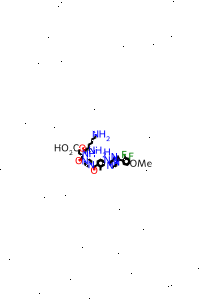 COc1ccc(-c2cnc3c(Nc4ccc(C(=O)N5CCN(C(=O)C(CCC(=O)O)NC(=O)[C@@H](N)CCCCN)CC5)c(C)c4)nccn23)c(F)c1F